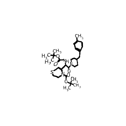 Cc1ccc(CC2CCN(C(=O)C(NC(=O)OC(C)(C)C)C3CSCCN3C(=O)OC(C)(C)C)CC2)cc1